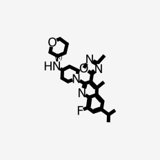 Cc1noc(-c2c(N3CCC(N[C@@H]4CCCOC4)CC3)nc3c(F)cc(C(C)C)cc3c2C)n1